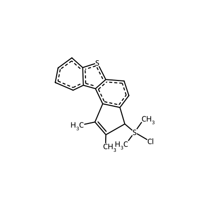 CC1=C(C)C(S(C)(C)Cl)c2ccc3sc4ccccc4c3c21